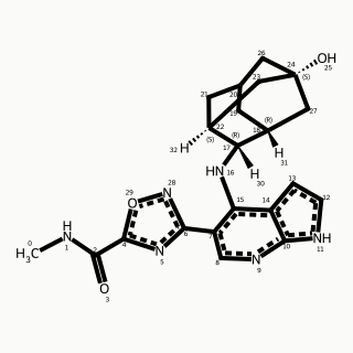 CNC(=O)c1nc(-c2cnc3[nH]ccc3c2N[C@H]2[C@@H]3CC4C[C@H]2C[C@@](O)(C4)C3)no1